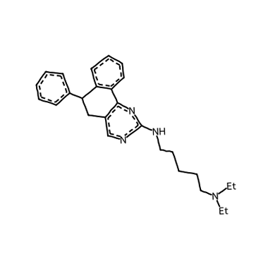 CCN(CC)CCCCCNc1ncc2c(n1)-c1ccccc1C(c1ccccc1)C2